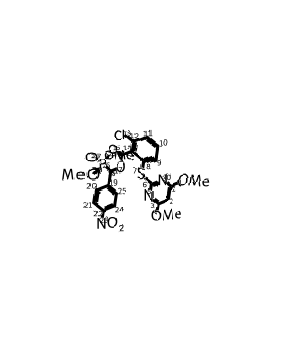 COc1cc(OC)nc(Sc2cccc(Cl)c2C(=O)OC(c2ccc([N+](=O)[O-])cc2)P(=O)(OC)OC)n1